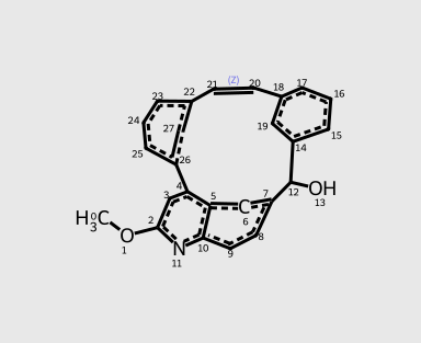 COc1cc2c3cc(ccc3n1)C(O)c1cccc(c1)/C=C\c1cccc-2c1